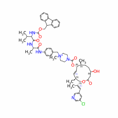 C/C(=C\c1cncc(Cl)c1)[C@H]1OC(=O)C[C@H](O)CC[C@H](C)[C@@H](OC(=O)N2CC[N+](C)(Cc3ccc(NC(=O)C(C)NC(=O)C(NC(=O)OCC4c5ccccc5-c5ccccc54)C(C)C)cc3)CC2)/C=C/[C@@H]1C